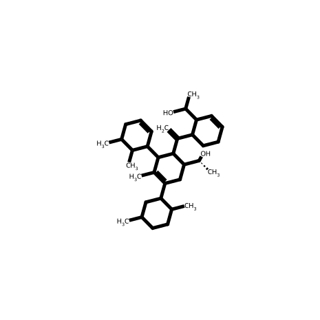 C=C(C1CCC=CC1C(C)O)C1C(C2C=CCC(C)C2C)C(C)=C(C2CC(C)CCC2C)CC1[C@@H](C)O